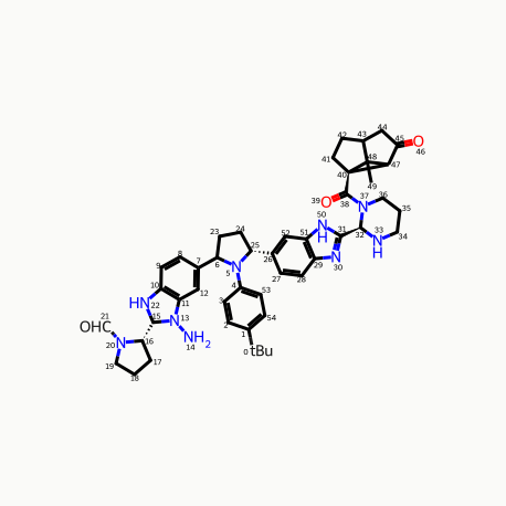 CC(C)(C)c1ccc(N2C(c3ccc4c(c3)N(N)C([C@@H]3CCCN3C=O)N4)CC[C@@H]2c2ccc3nc([C@@H]4NCCCN4C(=O)[C@]45CCC6CC(=O)C4C65C)[nH]c3c2)cc1